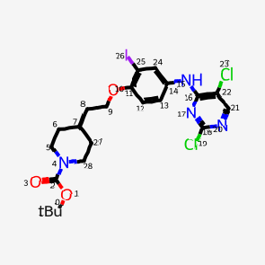 CC(C)(C)OC(=O)N1CCC(CCOc2ccc(Nc3nc(Cl)ncc3Cl)cc2I)CC1